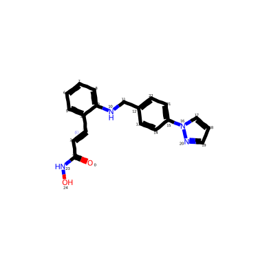 O=C(/C=C/c1ccccc1NCc1ccc(-n2cccn2)cc1)NO